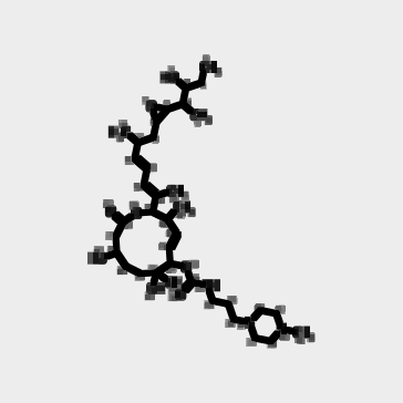 CCC(O)C(C)C1OC1CC(C)/C=C/C=C(\C)C1OC(=O)CC(O)CCC(C)(O)C(OC(=O)NCCCN2CCN(C)CC2)/C=C/C1C